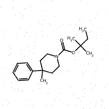 CCC(C)(C)OC(=O)N1CCC(C)(c2ccccc2)CC1